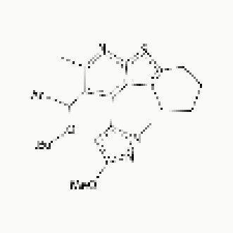 COc1cc(-c2c(C(OC(C)(C)C)C(C)=O)c(C)nc3sc4c(c23)CCCC4)n(C)n1